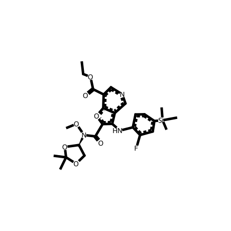 CCOC(=O)c1cncc2c(Nc3ccc([Si](C)(C)C)cc3F)c(C(=O)N(OC)[C@H]3COC(C)(C)O3)oc12